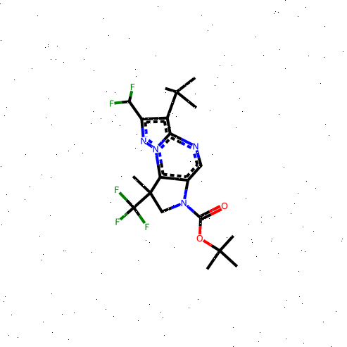 CC(C)(C)OC(=O)N1CC(C)(C(F)(F)F)c2c1cnc1c(C(C)(C)C)c(C(F)F)nn21